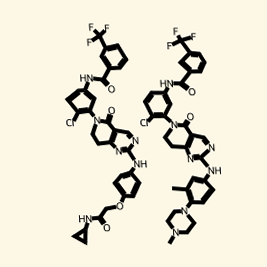 Cc1cc(Nc2ncc3c(n2)CCN(c2cc(NC(=O)c4cccc(C(F)(F)F)c4)ccc2Cl)C3=O)ccc1N1CCN(C)CC1.O=C(COc1ccc(Nc2ncc3c(n2)CCN(c2cc(NC(=O)c4cccc(C(F)(F)F)c4)ccc2Cl)C3=O)cc1)NC1CC1